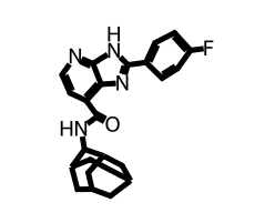 O=C(NC1C2CC3CC(C2)CC1C3)c1ccnc2[nH]c(-c3ccc(F)cc3)nc12